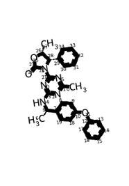 Cc1nc(N[C@@H](C)c2ccc(Oc3ccccc3)cc2)nc(N2C(=O)O[C@H](C)[C@@H]2c2ccccc2)n1